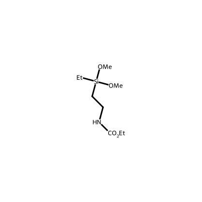 CCOC(=O)NCC[Si](CC)(OC)OC